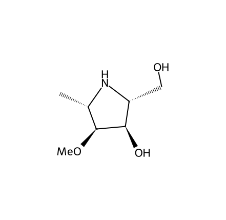 CO[C@@H]1[C@H](O)[C@@H](CO)N[C@H]1C